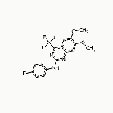 COc1cc2nc(Nc3ccc(F)cc3)nc(C(F)(F)F)c2cc1OC